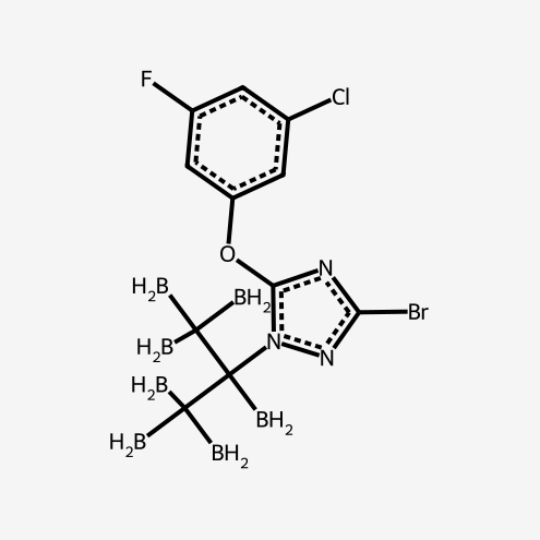 BC(B)(B)C(B)(n1nc(Br)nc1Oc1cc(F)cc(Cl)c1)C(B)(B)B